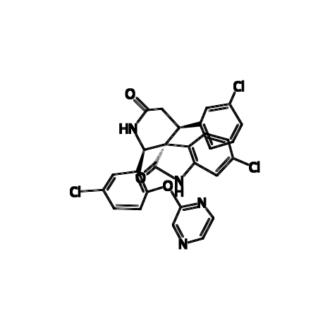 O=C1C[C@@H](c2cccc(Cl)c2)[C@]2(C(=O)Nc3cc(Cl)ccc32)[C@@H](c2cc(Cl)ccc2Oc2cnccn2)N1